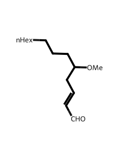 CCCCCCCCCC(CC=CC=O)OC